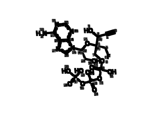 C#C[C@H](O)[C@@](CF)(COP(=O)(O)OP(=O)(O)OP(=O)(O)O)O[C@H](CO)n1cnc2c(N)ncnc21